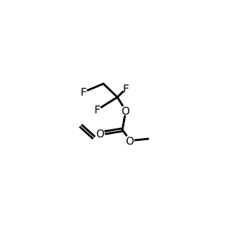 C=C.COC(=O)OC(F)(F)CF